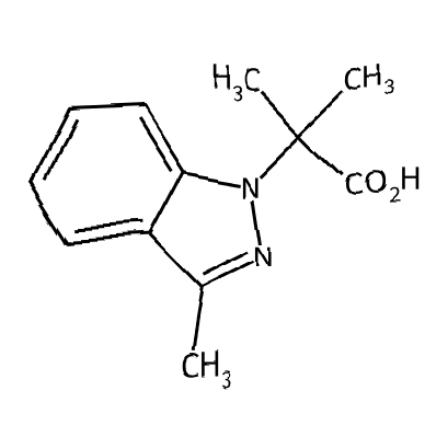 Cc1nn(C(C)(C)C(=O)O)c2ccccc12